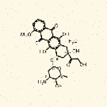 COc1cccc2c1C(=O)c1c(O)c3c(c(O)c1C2=O)C[C@@](O)(C(=O)CO)C[C@@H]3O[C@H]1C[C@H](N)[C@H](O)[C@H](C)O1.O